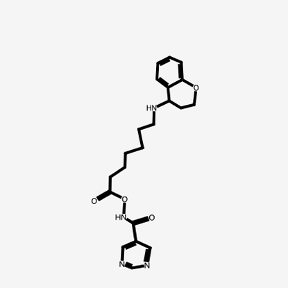 O=C(CCCCCCNC1CCOc2ccccc21)ONC(=O)c1cncnc1